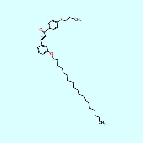 CCCCCCCCCCCCCCCCCCCOc1cccc(/C=C/C(=O)c2ccc(SCCC)cc2)c1